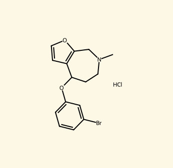 CN1CCC(Oc2cccc(Br)c2)c2ccoc2C1.Cl